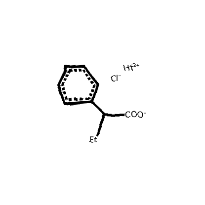 CCC(C(=O)[O-])c1ccccc1.[Cl-].[Hf+2]